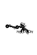 COc1ccc2c(c1C=Cc1ccc(OCCCCOc3ccccc3)cc1)c(CC(=O)O)c(C)n2CCCC(=O)O